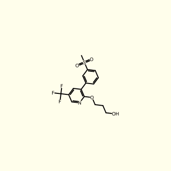 CS(=O)(=O)c1cccc(-c2cc(C(F)(F)F)cnc2OCCCO)c1